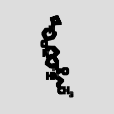 CCCNC(=O)N1CCc2nc(OC3CCN(C4CCC4)CC3)ccc2C1